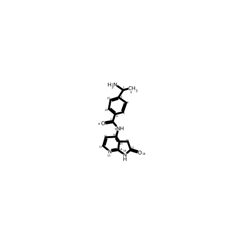 CC(N)c1ccc(C(=O)Nc2ccnc3c2CC(=O)N3)cc1